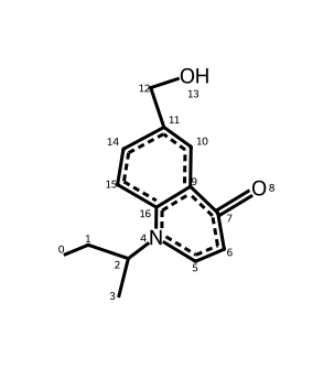 CCC(C)n1ccc(=O)c2cc(CO)ccc21